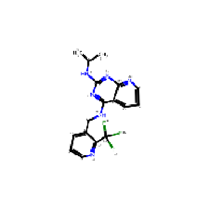 CC(C)Nc1nc(NCc2cccnc2C(F)(F)F)c2cccnc2n1